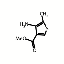 COC(=O)c1csc(C)c1N